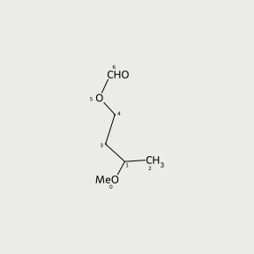 COC(C)CCOC=O